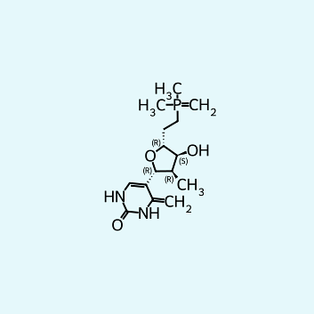 C=C1NC(=O)NC=C1[C@@H]1O[C@H](CCP(=C)(C)C)[C@@H](O)[C@H]1C